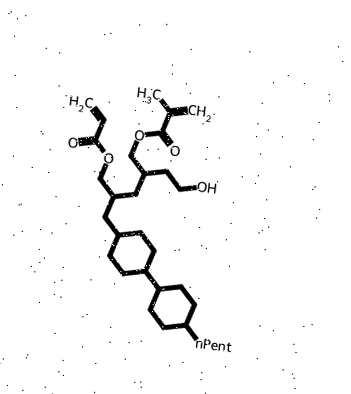 C=CC(=O)OCC(CC1CCC(C2CCC(CCCCC)CC2)CC1)CC(CCO)COC(=O)C(=C)C